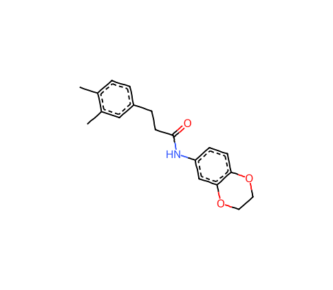 Cc1ccc(CCC(=O)Nc2ccc3c(c2)OCCO3)cc1C